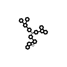 c1ccc(-c2ccc(-c3ccc(N(c4ccc(-c5cc6ccccc6c6ccccc56)cc4)c4cccc(-c5cccc6oc7c8ccccc8ccc7c56)c4)cc3)cc2-c2ccccc2)cc1